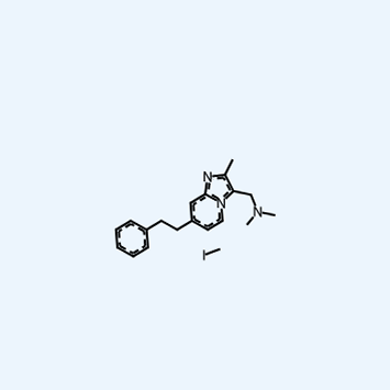 CI.Cc1nc2cc(CCc3ccccc3)ccn2c1CN(C)C